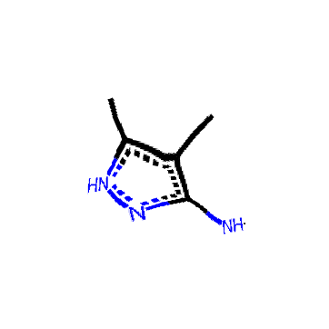 Cc1[nH]nc([NH])c1C